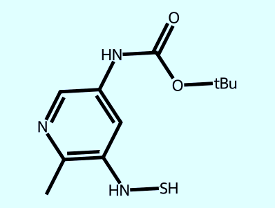 Cc1ncc(NC(=O)OC(C)(C)C)cc1NS